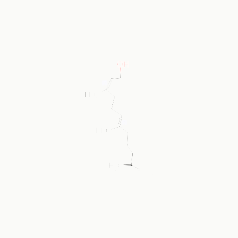 C=C(C)CCC/C(C)=C/CC/C(C)=C\CO